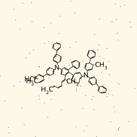 C#C/C=C(\C=C/C)c1ccc(N(c2ccc(-c3ccccc3)cc2)c2cc(/C(C)=C/C=C\C=C)c(C3=C/CC/C=C(N(C4=C[C@@H](C)C(c5ccccc5)C=C4)c4ccc(-c5ccccc5)cc4)/C=C\3)c(-c3ccccc3)c2)cc1